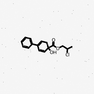 CC(Cl)COC(=O)C1(O)C=CC(c2ccccc2)=CC1